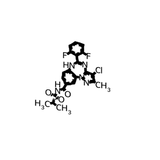 Cc1nn2c(c1Cl)N=C(c1c(F)cccc1F)Nc1ccc(C(=O)NS(=O)(=O)C(C)C)cc1-2